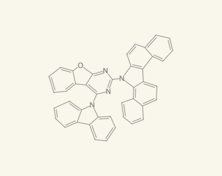 c1ccc2c(c1)ccc1c2c2ccc3ccccc3c2n1-c1nc(-n2c3ccccc3c3ccccc32)c2c(n1)oc1ccccc12